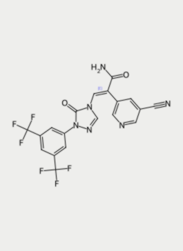 N#Cc1cncc(/C(=C\n2cnn(-c3cc(C(F)(F)F)cc(C(F)(F)F)c3)c2=O)C(N)=O)c1